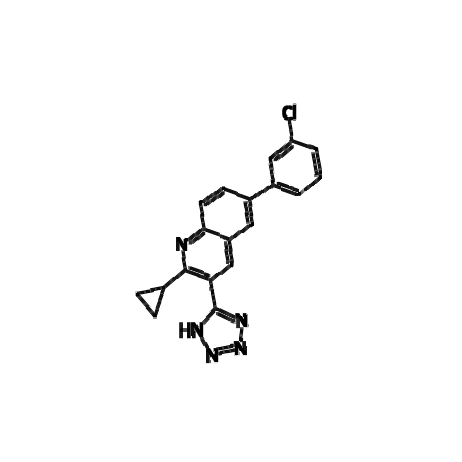 Clc1cccc(-c2ccc3nc(C4CC4)c(-c4nnn[nH]4)cc3c2)c1